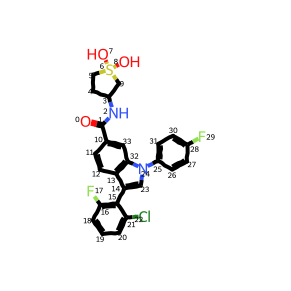 O=C(NC1CCS(O)(O)C1)c1ccc2c(-c3c(F)cccc3Cl)cn(-c3ccc(F)cc3)c2c1